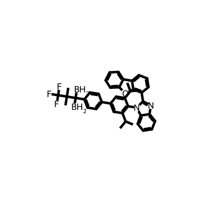 BC(B)(c1ccc(-c2cc(C(C)C)c(-n3c(-c4cccc5c4oc4ccccc45)nc4ccccc43)c(C(C)C)c2)cc1)C(C)(C)C(F)(F)F